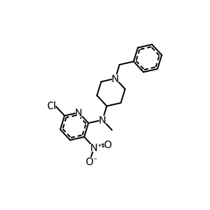 CN(c1nc(Cl)ccc1[N+](=O)[O-])C1CCN(Cc2ccccc2)CC1